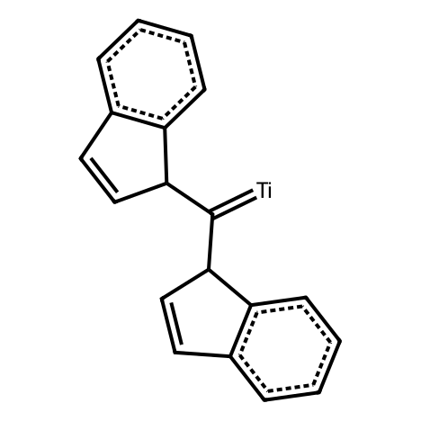 [Ti]=[C](C1C=Cc2ccccc21)C1C=Cc2ccccc21